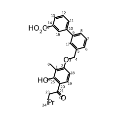 Cc1c(OCc2cccc(-c3cccc(C(=O)O)c3)c2)ccc(C(=O)CC(C)C)c1O